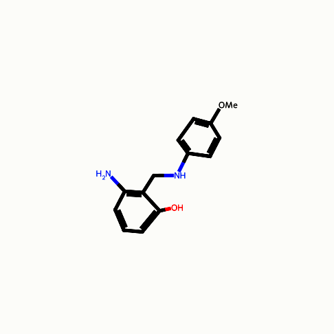 COc1ccc(NCc2c(N)cccc2O)cc1